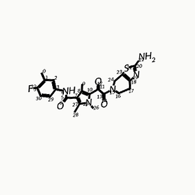 Cc1cc(NC(=O)c2c(C)c(C(=O)C(=O)N3CCc4nc(N)sc4C3)n(C)c2C)ccc1F